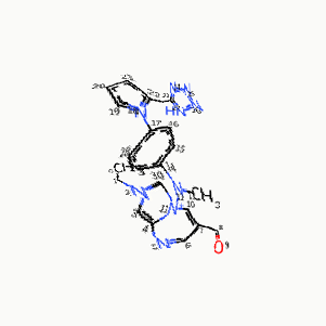 CCN1C=C2N=CC(C=O)=C[N+]2(N(C)c2ccc(-n3cccc3-c3nnn[nH]3)cc2)C1